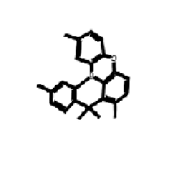 Cc1ccc2c(c1)B1c3cc(C)ccc3C(C)(C)c3c(C)ccc(c31)O2